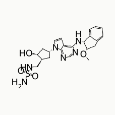 CO[C@H]1Cc2ccccc2[C@H]1Nc1ncnc2c1ccn2[C@@H]1C[C@@H](CNS(N)(=O)=O)[C@@H](O)C1